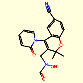 CC1(C)Oc2ccc(C#N)cc2C(n2ccccc2=O)=C1CN(O)C=O